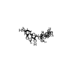 CNc1ccn(C2OC(COP(=O)(OC)OP(=O)(OC)OP(=O)(OC)OC)C(O)C2OC)c(=O)n1